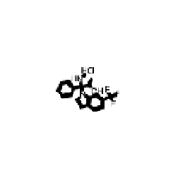 CNC(c1ccccc1)(C(C)O)n1ccc2ccc(C(F)(F)F)cc21.Cl